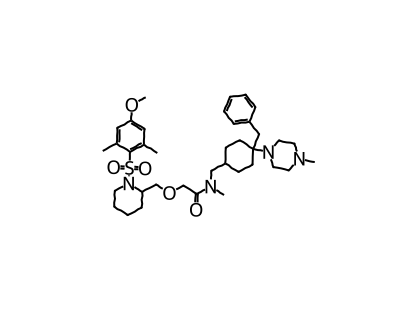 COc1cc(C)c(S(=O)(=O)N2CCCCC2COCC(=O)N(C)CC2CCC(Cc3ccccc3)(N3CCN(C)CC3)CC2)c(C)c1